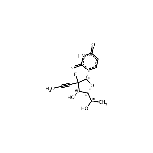 CC#CC1(F)[C@@H](O)[C@@H]([C@@H](C)O)O[C@H]1n1ccc(=O)[nH]c1=O